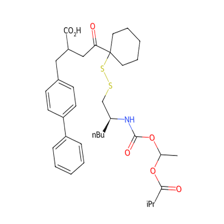 CCCC[C@@H](CSSC1(C(=O)CC(Cc2ccc(-c3ccccc3)cc2)C(=O)O)CCCCC1)NC(=O)OC(C)OC(=O)C(C)C